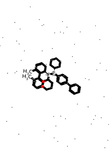 CC1=C(c2ccccc2C)[C]([P@](C2CCCCC2)[P@@](c2ccc(-c3ccccc3)cc2)C2CCCCC2)CC=C1